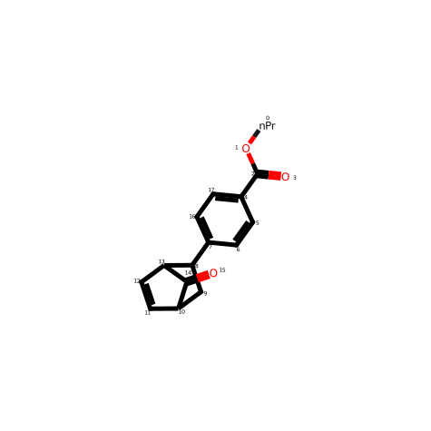 CCCOC(=O)c1ccc(C2CC3C=CC2C3=O)cc1